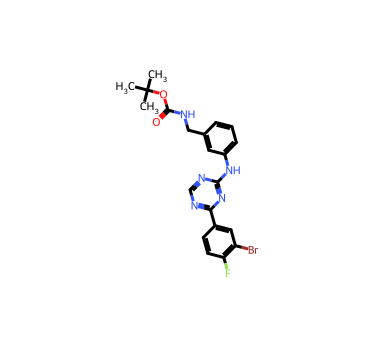 CC(C)(C)OC(=O)NCc1cccc(Nc2ncnc(-c3ccc(F)c(Br)c3)n2)c1